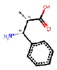 C[C@H](C(=O)O)[C@@H](N)c1ccccc1